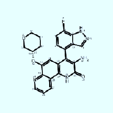 Nc1c(-c2ccc(F)c3[nH]ncc23)c2cc(O[C@H]3CCCOC3)c3ncccc3c2[nH]c1=O